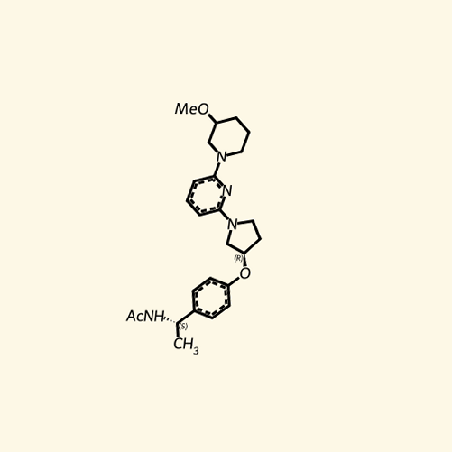 COC1CCCN(c2cccc(N3CC[C@@H](Oc4ccc([C@H](C)NC(C)=O)cc4)C3)n2)C1